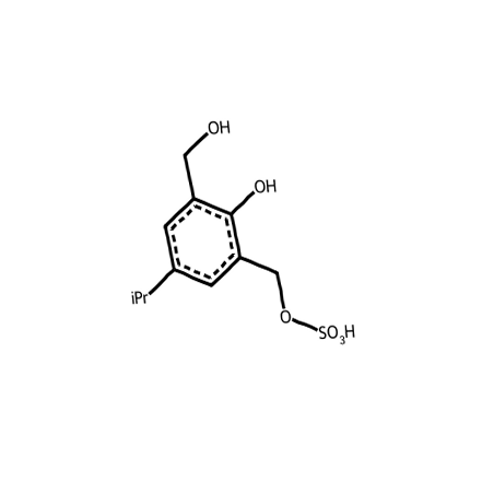 CC(C)c1cc(CO)c(O)c(COS(=O)(=O)O)c1